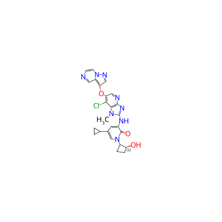 Cn1c(Nc2cc(C3CC3)cn(C3CC[C@@H]3O)c2=O)nc2ncc(Oc3cnn4ccncc34)c(Cl)c21